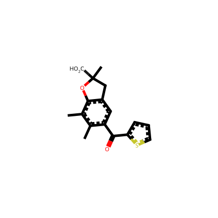 Cc1c(C(=O)c2cccs2)cc2c(c1C)OC(C)(C(=O)O)C2